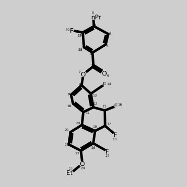 CCCc1ccc(C(=O)Oc2ccc3c(c2F)C(F)C(F)c2c-3ccc(OCC)c2F)cc1F